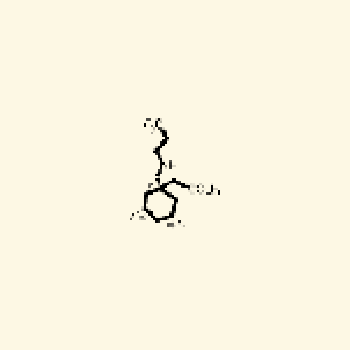 C[C@@H]1C[C@H](C)C[C@@](CNCCC(F)(F)F)(CC(=O)O)C1